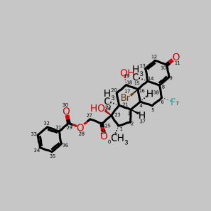 C[C@H]1C[C@H]2[C@@H]3C[C@@H](F)C4=CC(=O)C=C[C@]4(C)[C@@]3(Br)[C@@H](O)C[C@]2(C)[C@@]1(O)C(=O)COC(=O)c1ccccc1